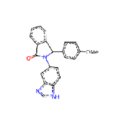 COc1ccc(C2c3ccccc3C(=O)N2c2ccc3[nH]cnc3c2)cc1